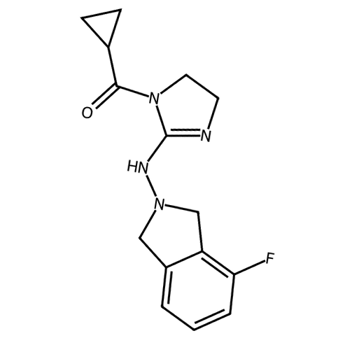 O=C(C1CC1)N1CCN=C1NN1Cc2cccc(F)c2C1